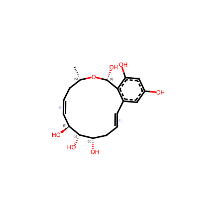 C[C@H]1C/C=C\[C@H](O)[C@@H](O)[C@@H](O)C/C=C/c2cc(O)cc(O)c2[C@@H](O)O1